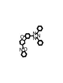 C1=CC2Oc3ccc(-c4nc(-c5ccccc5)nc(-c5ccccc5)n4)cc3C2C=C1c1nc2ccccc2o1